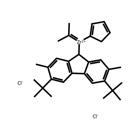 C[C](C)=[Zr+2]([C]1=CC=CC1)[CH]1c2cc(C)c(C(C)(C)C)cc2-c2cc(C(C)(C)C)c(C)cc21.[Cl-].[Cl-]